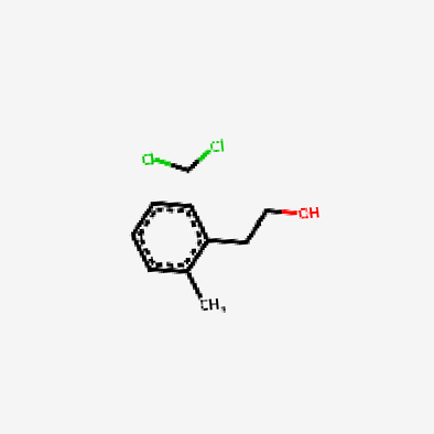 Cc1ccccc1CCO.ClCCl